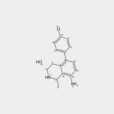 CC1NCCc2c(-c3ccc(Cl)cc3)ccc(N)c21.Cl